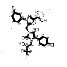 C[C@H](O)c1nc(Cn2c(Cl)c(-c3ccc(Cl)cc3)n(C[C@H](O)C(F)(F)F)c2=O)n(-c2cccc(F)c2)n1